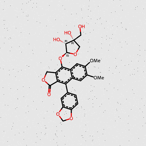 COc1cc2c(O[C@@H]3OC[C@](O)(CO)[C@H]3O)c3c(c(-c4ccc5c(c4)OCO5)c2cc1OC)C(=O)OC3